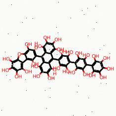 Oc1c(O)c(O)c(-c2c(O)c(O)c(-c3c(O)c(O)c(-c4c5c(O)c(O)c(O)c(O)c5c(-c5c(O)c(O)c6oc7c(O)c(O)c(O)c(O)c7c6c5O)c5c(O)c(O)c(O)c(O)c45)c(O)c3O)c(O)c2O)c(O)c1O